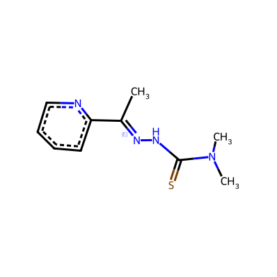 C/C(=N\NC(=S)N(C)C)c1ccccn1